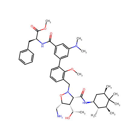 COC(=O)[C@H](Cc1ccccc1)NC(=O)c1cc(-c2cccc(CN3O[C@@H](CN)[C@@H]([C@H](C)O)[C@H]3C(=O)N[C@H]3C[C@@H](C)C(C)(C)[C@@H](C)[C@@H]3C)c2OC)cc(N(C)C)c1